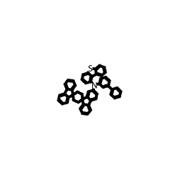 c1ccc(-c2cccc(N(c3ccc4c(c3)C3(CCC5(CC3)c3ccccc3-c3ccccc35)c3ccccc3-4)c3cccc4sc5ccccc5c34)c2)cc1